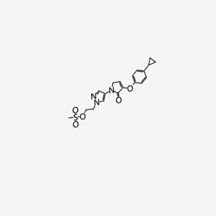 CS(=O)(=O)OCCn1cc(N2CC=C(Oc3ccc(C4CC4)cc3)C2=O)cn1